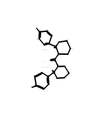 COC1(c2ccc(I)cc2)CCCCC1C(=O)C1CCCCC1(OC)c1ccc(I)cc1